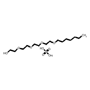 CCCCCCCOCCOCCOCCOCCO.O=S(=O)(O)O